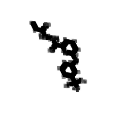 C=CC(=O)NNC(=O)c1cccc(Oc2cccc(C(F)(F)F)c2)n1